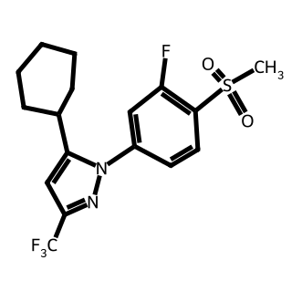 CS(=O)(=O)c1ccc(-n2nc(C(F)(F)F)cc2C2CCCCC2)cc1F